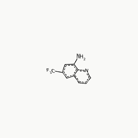 Nc1cc(C(F)(F)F)cc2cccnc12